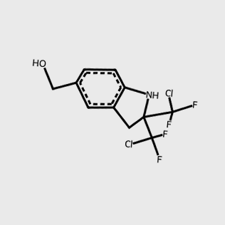 OCc1ccc2c(c1)CC(C(F)(F)Cl)(C(F)(F)Cl)N2